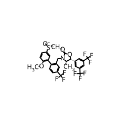 COc1ccc([S+](C)[O-])cc1-c1ccc(C(F)(F)F)cc1CN1C(=O)O[C@H](c2cc(C(F)(F)F)cc(C(F)(F)F)c2)[C@H]1C